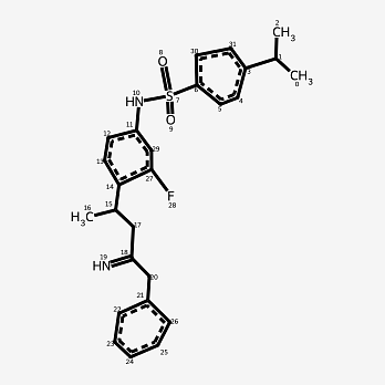 CC(C)c1ccc(S(=O)(=O)Nc2ccc(C(C)CC(=N)Cc3ccccc3)c(F)c2)cc1